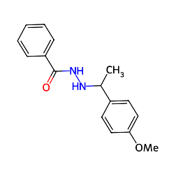 COc1ccc(C(C)NNC(=O)c2ccccc2)cc1